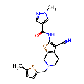 Cc1ccc(CN2CCc3c(sc(NC(=O)c4cnn(C)c4)c3C#N)C2)s1